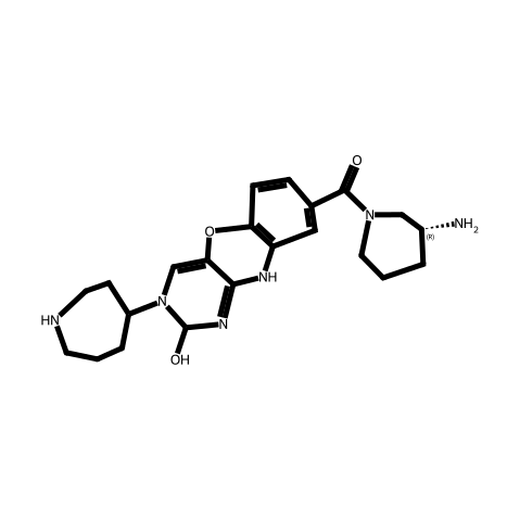 N[C@@H]1CCCN(C(=O)c2ccc3c(c2)NC2=NC(O)N(C4CCCNCC4)C=C2O3)C1